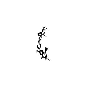 Cc1cn(C2CC2)c2cc(N3CCN(CCCOc4cccc5c4B(O)OC5C[N+](=O)[O-])CC3)c(F)cc2c1=O